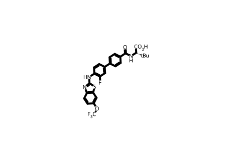 CC(C)(C)[C@H](NC(=O)c1ccc(-c2ccc(Nc3nc4ccc(OC(F)(F)F)cc4s3)c(F)c2)cc1)C(=O)O